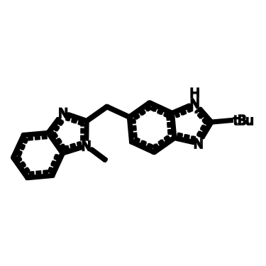 Cn1c(Cc2ccc3nc(C(C)(C)C)[nH]c3c2)nc2ccccc21